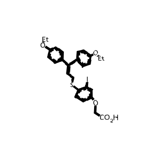 CCOc1ccc(C(=CCSc2ccc(OCC(=O)O)cc2I)c2ccc(OCC)cc2)cc1